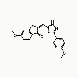 COc1ccc(-c2cc(C=C3Cc4cc(OC)ccc4C3=O)[nH]n2)cc1